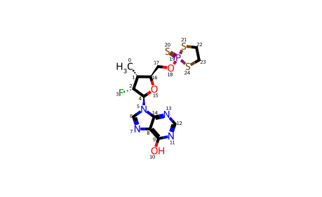 C[C@H]1[C@@H](F)[C@H](n2cnc3c(O)ncnc32)O[C@@H]1COP1(=S)SCCS1